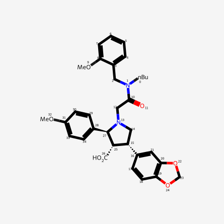 CCCCN(Cc1ccccc1OC)C(=O)CN1C[C@H](c2ccc3c(c2)OCO3)[C@H](C(=O)O)[C@H]1c1ccc(OC)cc1